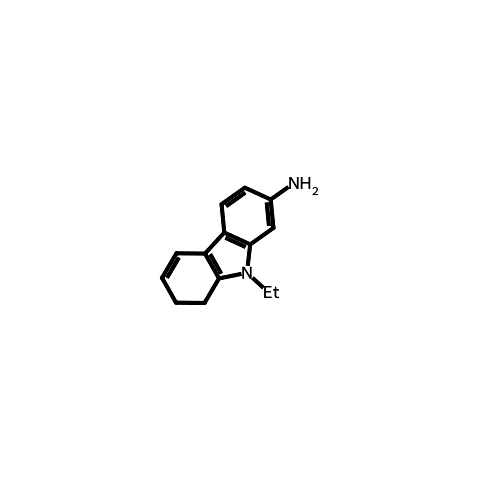 CCn1c2c(c3ccc(N)cc31)C=CCC2